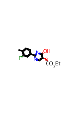 CCOC(=O)Oc1cnc(-c2ccc(C)c(F)c2)nc1O